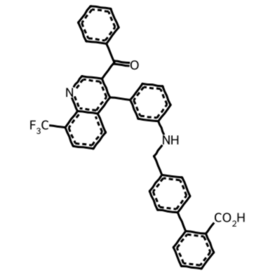 O=C(O)c1ccccc1-c1ccc(CNc2cccc(-c3c(C(=O)c4ccccc4)cnc4c(C(F)(F)F)cccc34)c2)cc1